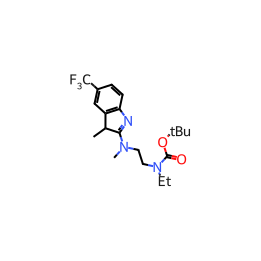 CCN(CCN(C)C1=Nc2ccc(C(F)(F)F)cc2C1C)C(=O)OC(C)(C)C